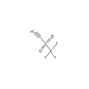 C#CS(=O)(=O)C(F)(F)F